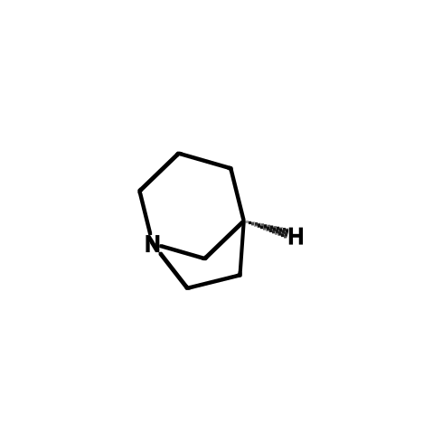 C1C[C@H]2CCN(C1)C2